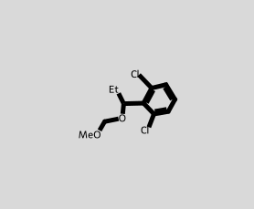 CCC(OCOC)c1c(Cl)cccc1Cl